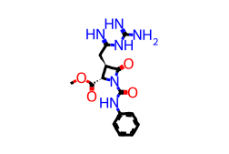 COC(=O)[C@@H]1[C@@H](CC(=N)NC(=N)N)C(=O)N1C(=O)Nc1ccccc1